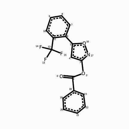 O=C(Oc1cc(-c2ccccc2C(F)(F)F)on1)c1ccccc1